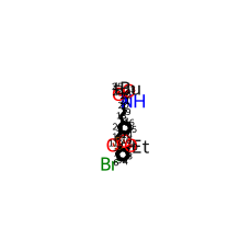 CCOc1ccc(Br)cc1S(=O)(=O)Cc1cccc(CCCNC(=O)OC(C)(C)C)c1